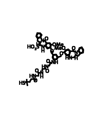 COc1cc2c(cc1OCc1cc(COc3cc4c(cc3OC)C(=O)N3c5ccccc5C[C@H]3[C@H](S(=O)(=O)O)N4)cc(NC(=O)CNC(=O)CNC(=O)CNC(=O)CCC(C)(C)S)c1)NC[C@@H]1Cc3ccccc3N1C2=O